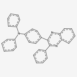 c1ccc(-c2nc3ccccc3nc2-c2ccc(N(c3ccccc3)c3ccccc3)cc2)cc1